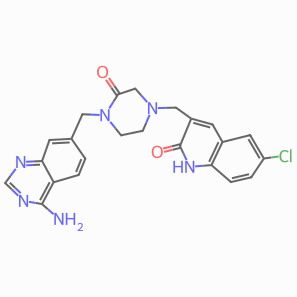 Nc1ncnc2cc(CN3CCN(Cc4cc5cc(Cl)ccc5[nH]c4=O)CC3=O)ccc12